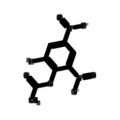 [3H]c1cc([N+](=O)[O-])cc([N+](=O)[O-])c1OC(C)=O